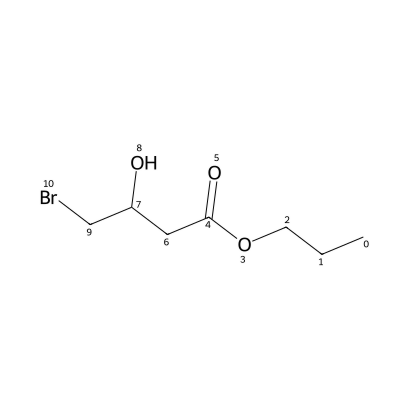 CCCOC(=O)CC(O)CBr